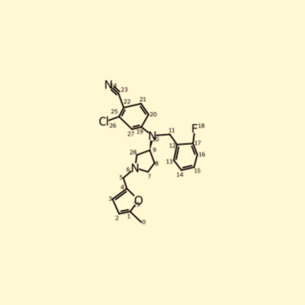 Cc1ccc(CN2CC[C@H](N(Cc3ccccc3F)c3ccc(C#N)c(Cl)c3)C2)o1